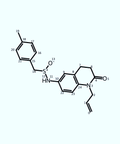 C=CCN1C(=O)CCc2cc(N[S+]([O-])Cc3ccc(C)cc3)ccc21